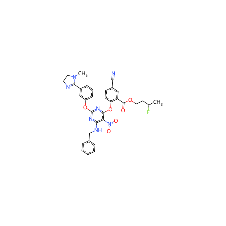 CC(F)CCOC(=O)c1cc(C#N)ccc1Oc1nc(Oc2cccc(C3=NCCN3C)c2)nc(NCc2ccccc2)c1[N+](=O)[O-]